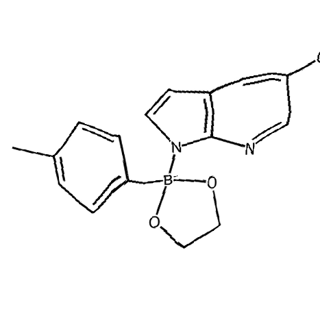 Cc1ccc([B-]2(n3ccc4cc(Cl)cnc43)OCCO2)cc1